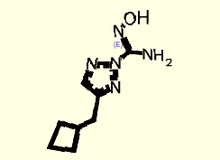 N/C(=N\O)n1ncc(CC2CCC2)n1